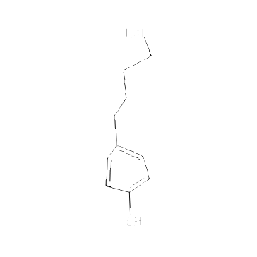 Cc1ccc(CCC[CH2][AlH2])cc1